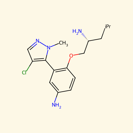 CC(C)C[C@@H](N)COc1ccc(N)cc1-c1c(Cl)cnn1C